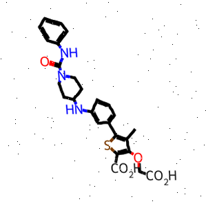 Cc1c(-c2cccc(NC3CCN(C(=O)Nc4ccccc4)CC3)c2)sc(C(=O)O)c1OCC(=O)O